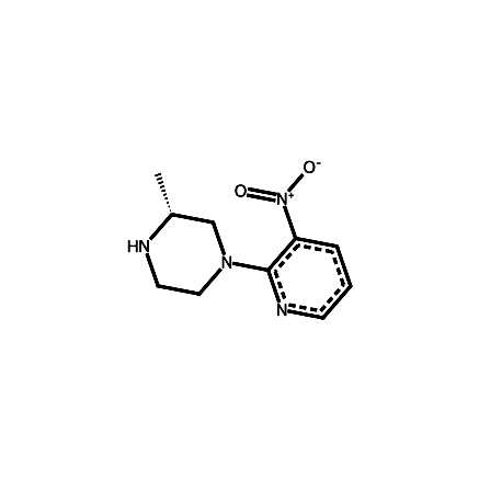 C[C@@H]1CN(c2ncccc2[N+](=O)[O-])CCN1